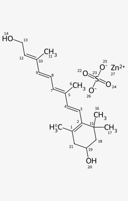 CC1=C(/C=C/C(C)=C/C=C/C(C)=C/CO)C(C)(C)CC(O)C1.O=S(=O)([O-])[O-].[Zn+2]